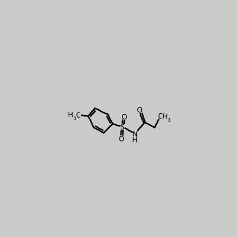 CCC(=O)NS(=O)(=O)c1ccc(C)cc1